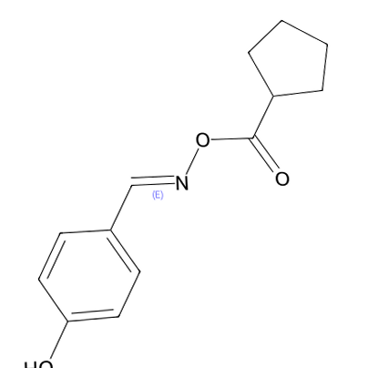 O=C(O/N=C/c1ccc(O)cc1)C1CCCC1